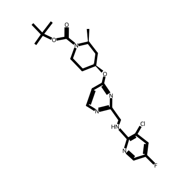 C[C@H]1C[C@@H](Oc2ccnc(CNc3ncc(F)cc3Cl)n2)CCN1C(=O)OC(C)(C)C